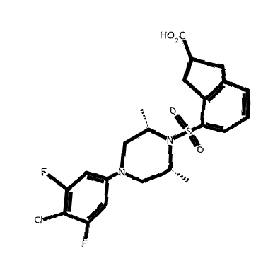 C[C@@H]1CN(c2cc(F)c(Cl)c(F)c2)C[C@H](C)N1S(=O)(=O)c1cccc2c1CC(C(=O)O)C2